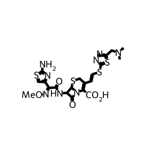 CON=C(C(=O)NC1C(=O)N2C(C(=O)O)=C(C=CSc3nnc(CN(C)C)s3)CSC12)c1csc(N)n1